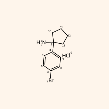 Cl.NC1(c2ccc(Br)cc2)CCCC1